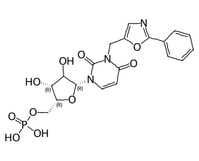 O=c1ccn([C@@H]2O[C@H](COP(=O)(O)O)[C@H](O)C2O)c(=O)n1Cc1cnc(-c2ccccc2)o1